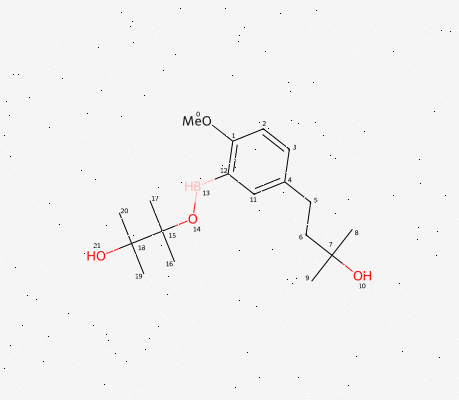 COc1ccc(CCC(C)(C)O)cc1BOC(C)(C)C(C)(C)O